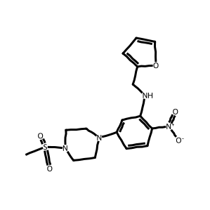 CS(=O)(=O)N1CCN(c2ccc([N+](=O)[O-])c(NCc3ccco3)c2)CC1